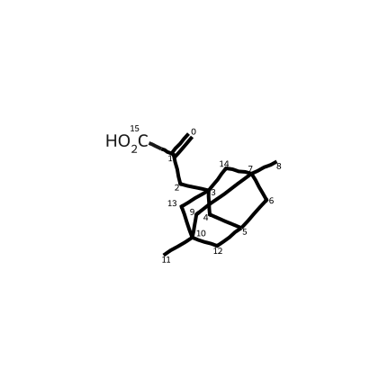 C=C(CC12CC3CC(C)(CC(C)(C3)C1)C2)C(=O)O